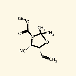 C=C[C@H]1OC(C)(C)N(C(=O)OC(C)(C)C)[C@H]1C#N